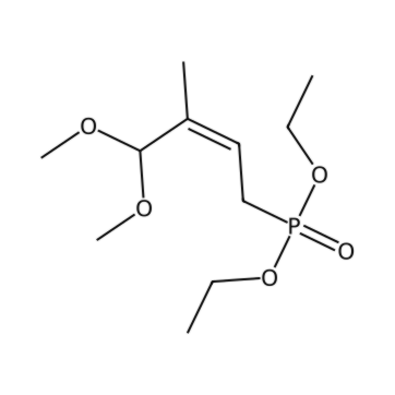 CCOP(=O)(CC=C(C)C(OC)OC)OCC